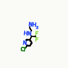 NCCNC(c1ccc(Cl)nc1)C(F)F